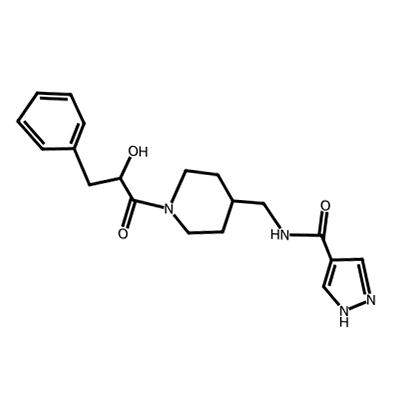 O=C(NCC1CCN(C(=O)C(O)Cc2ccccc2)CC1)c1cn[nH]c1